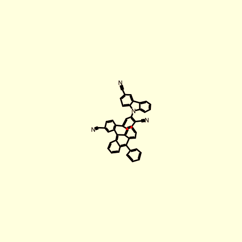 N#Cc1ccc(-c2ccc(C#N)c(-n3c4ccccc4c4cc(C#N)ccc43)c2)c(-c2c3ccccc3c(-c3ccccc3)c3ccccc23)c1